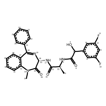 C[C@H](NC(=O)C(O)c1cc(F)cc(F)c1)C(=O)N[C@H]1N=C(c2ccccc2)c2ccccc2N(C)C1=O